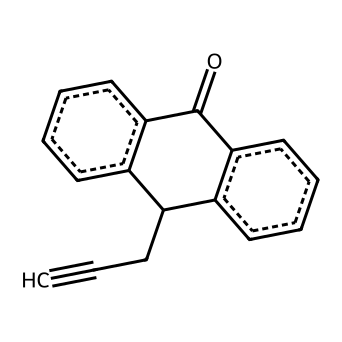 C#CCC1c2ccccc2C(=O)c2ccccc21